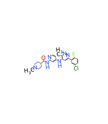 Cc1nnc(-c2cc(Cl)ccc2F)cc1Nc1ccnc(NC(=O)C2CCN(C)CC2)c1